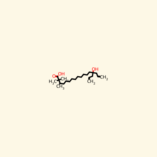 C=CCC(O)(CC=C)CCCCCCCCCCC(C)C(C)(C)C(=O)O